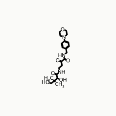 CC(C)(CO)C(O)C(=O)NCCC(=O)C(=O)NCc1ccc(N2CCOCC2)cc1